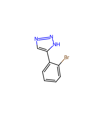 Brc1ccccc1-c1cnn[nH]1